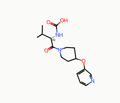 CC(C)[C@H](NC(=O)O)C(=O)N1CCC(Oc2cccnc2)CC1